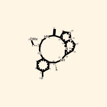 C=C1NC[C@@H](COC)Oc2ccc(F)cc2[C@@H](C)Nc2ccn3ncc1c3n2